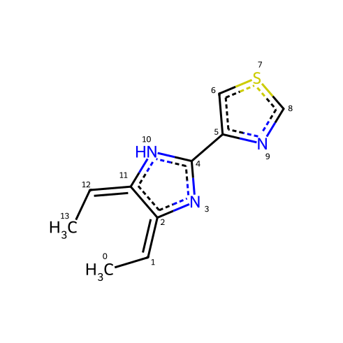 C/C=c1/nc(-c2cscn2)[nH]/c1=C/C